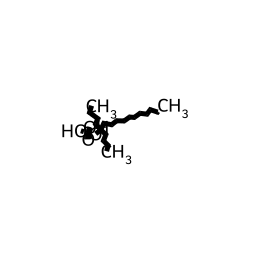 CCCCCCCCCCCC(CCCC)(CCCC)OP(=O)(O)O